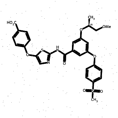 COC[C@H](C)Oc1cc(Oc2ccc(S(C)(=O)=O)cc2)cc(C(=O)Nc2ncc(Oc3ccc(C(=O)O)cc3)s2)c1